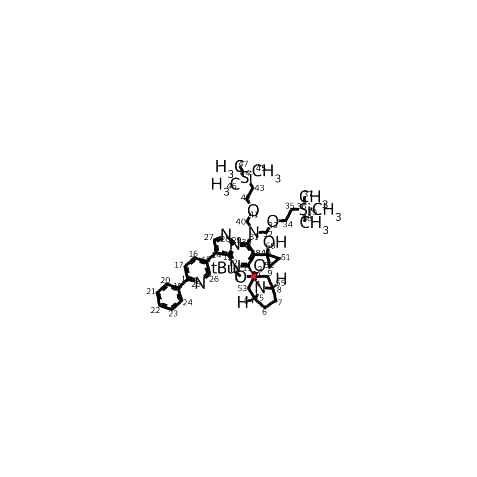 CC(C)(C)OC(=O)N1[C@@H]2CC[C@H]1C[C@H](c1nc3c(-c4ccc(-c5ccccc5)nc4)cnn3c(N(COCC[Si](C)(C)C)COCC[Si](C)(C)C)c1C1(O)CC1)C2